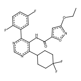 CCOc1cc(C(=O)Nc2c(-c3cc(F)ccc3F)ncnc2C2CCC(F)(F)CC2)on1